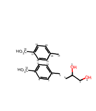 CC(O)CO.Cc1ccc(C(=O)O)cc1.Cc1ccc(C(=O)O)cc1